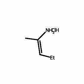 CCC=C(C)N.Cl